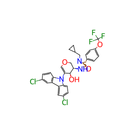 O=S(=NCC1CC1)(N[C@@H]1COC=C(n2c3ccc(Cl)cc3c3cc(Cl)ccc32)[C@@H]1O)c1ccc(OC(F)(F)F)cc1